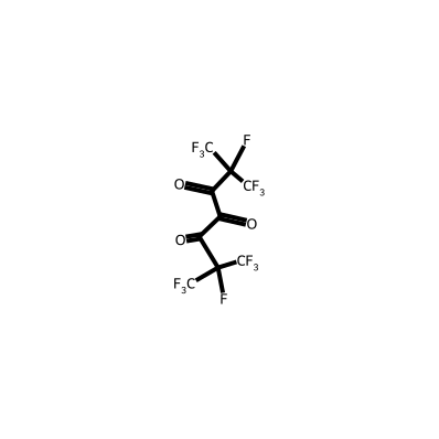 O=C(C(=O)C(F)(C(F)(F)F)C(F)(F)F)C(=O)C(F)(C(F)(F)F)C(F)(F)F